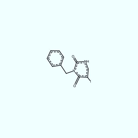 O=c1[nH]cc(I)c(=O)n1Cc1ccccc1